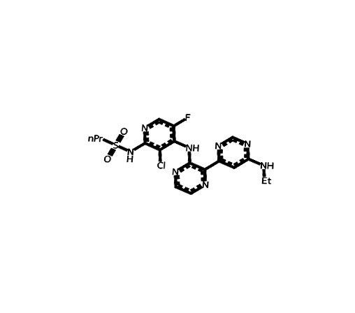 CCCS(=O)(=O)Nc1ncc(F)c(Nc2nccnc2-c2cc(NCC)ncn2)c1Cl